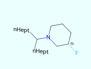 CCCCCCCC(CCCCCCC)N1CCC[C@H](F)C1